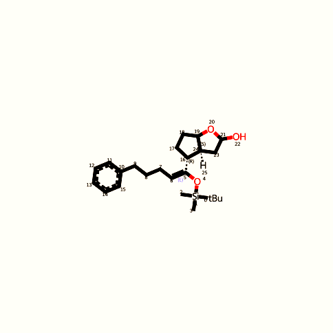 CC(C)(C)[Si](C)(C)O/C(=C/CCCc1ccccc1)[C@@H]1CCC2OC(O)C[C@H]21